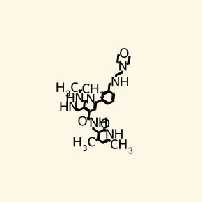 Cc1cc(C)c(CNC(=O)c2cc(-c3cccc(CNCCN4CCOCC4)c3)nc(NC(C)C)c2C=N)c(=O)[nH]1